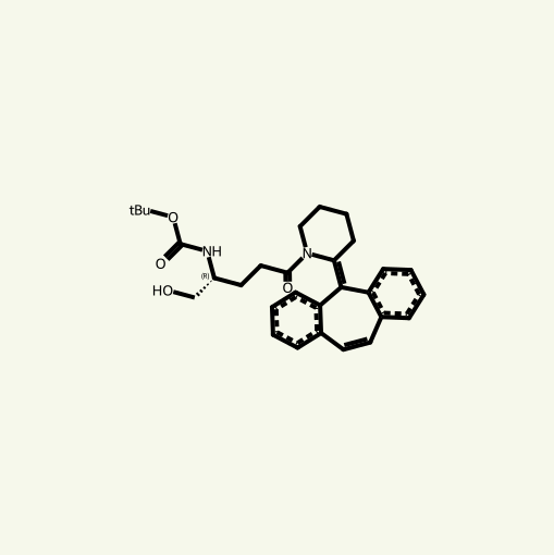 CC(C)(C)OC(=O)N[C@@H](CO)CCC(=O)N1CCCCC1=C1c2ccccc2C=Cc2ccccc21